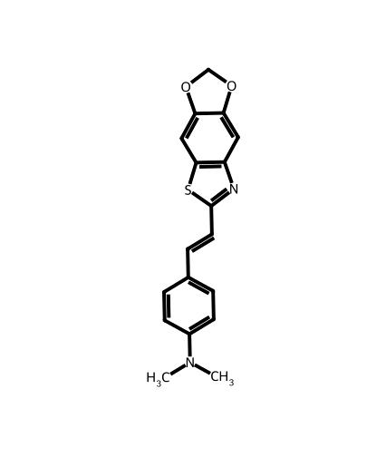 CN(C)c1ccc(C=Cc2nc3cc4c(cc3s2)OCO4)cc1